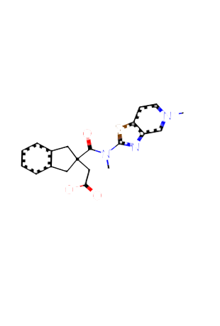 CN(C(=O)C1(CC(=O)[O-])Cc2ccccc2C1)c1nc2c[n+](C)ccc2s1